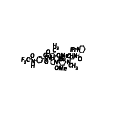 CC[C@H](C)[C@@H]([C@@H](CC(=O)N1CCC[C@H]1[C@H](OC)[C@@H](C)C(=O)NS(=O)(=O)c1ccc(NC(=O)C(F)(F)F)cc1)OC)N(C)C(=O)CNC(=O)[C@H]1CCCCN1C(C)C